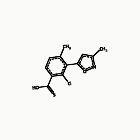 Cc1cc(-c2c(C)ccc(C(O)=S)c2Cl)on1